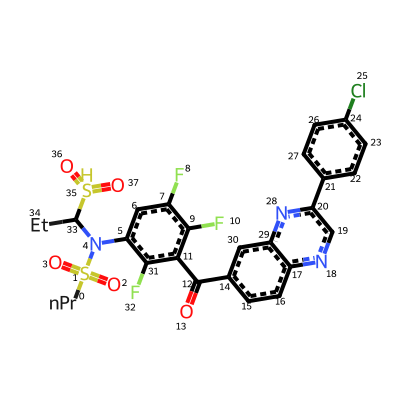 CCCS(=O)(=O)N(c1cc(F)c(F)c(C(=O)c2ccc3ncc(-c4ccc(Cl)cc4)nc3c2)c1F)C(CC)[SH](=O)=O